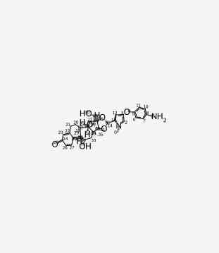 Cn1cc(Oc2ccc(N)cc2)cc1[C@@H]1O[C@@H]2C[C@H]3[C@@H]4CCC5=CC(=O)C=C[C@]5(C)[C@H]4[C@@H](O)C[C@]3(C)[C@]2(C(=O)CO)O1